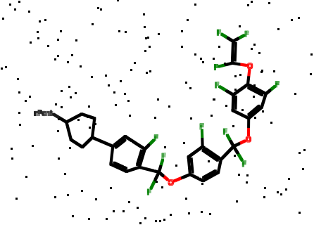 CCCCCC1CCC(c2ccc(C(F)(F)Oc3ccc(C(F)(F)Oc4cc(F)c(OC(F)=C(F)F)c(F)c4)c(F)c3)c(F)c2)CC1